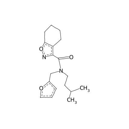 CC(C)CCN(Cc1ccco1)C(=O)c1noc2c1CCCC2